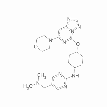 CN(C)Cc1cnc(N[C@H]2CC[C@@H](Oc3nc(N4CCOCC4)cc4ncnn34)CC2)nc1